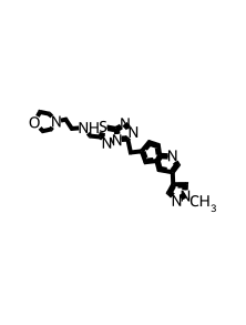 Cn1cc(-c2cnc3ccc(Cc4nnc5sc(CNCCN6CCOCC6)nn45)cc3c2)cn1